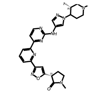 CN1CCC(n2cc(Nc3nccc(-c4cccc(-c5cc([C@@H]6CCN(C)C6=O)on5)n4)n3)cn2)[C@H](F)C1